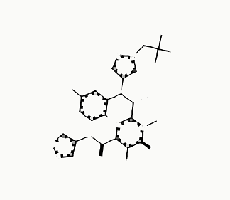 C[C@H](c1nc(C(=O)Nc2cnoc2)c(O)c(=O)n1C)[C@H](c1cnn(CC(C)(C)O)c1)c1cc(F)ccc1Cl